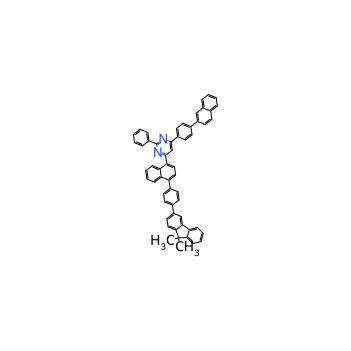 CC1(C)c2ccccc2-c2cc(-c3ccc(-c4ccc(-c5cc(-c6ccc(-c7ccc8ccccc8c7)cc6)nc(-c6ccccc6)n5)c5ccccc45)cc3)ccc21